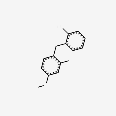 COc1ccc(Cc2ccccc2N)c(Cl)c1